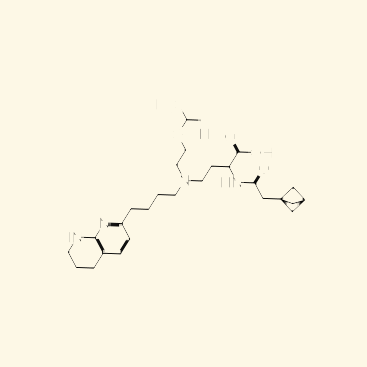 CC(C)OCCN(CCCCc1ccc2c(n1)NCCC2)CCC(NC(=O)CC12CC(C1)C2)C(=O)O